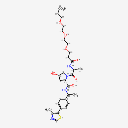 Cc1ncsc1-c1ccc(C(C)NC(=O)[C@@H]2C[C@@H](O)CN2C(=O)C(NC(=O)CCOCCOCCOCCC(=O)O)C(C)(C)C)cc1